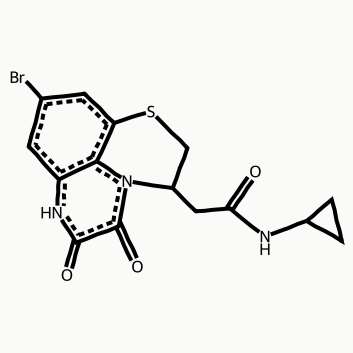 O=C(CC1CSc2cc(Br)cc3[nH]c(=O)c(=O)n1c23)NC1CC1